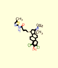 CO/N=C1\C[C@@H](CCCC(=O)Nc2ncc(C)s2)C2C3CCc4c(cc(Cl)c(O)c4Cl)C3CC[C@]12C